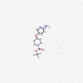 CC(C)(C)OC(=O)N1CCC(Oc2ccc(N)nc2)CC1